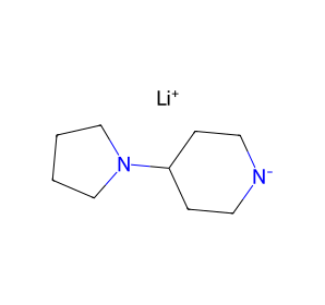 C1CCN(C2CC[N-]CC2)C1.[Li+]